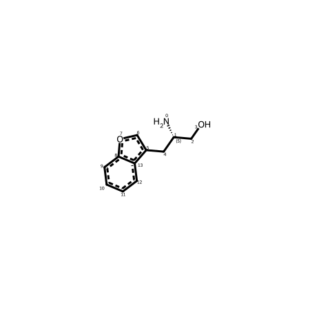 N[C@H](CO)Cc1coc2ccccc12